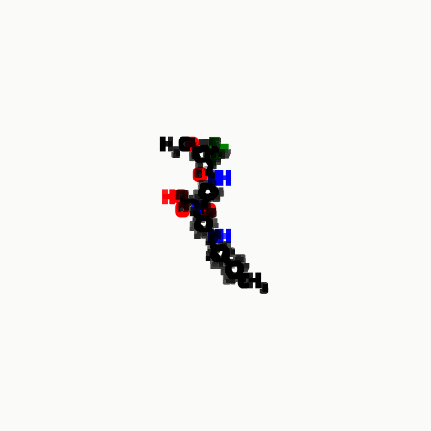 COc1ccc(CC(=O)Nc2ccc(C(=O)N(CC(=O)O)Cc3ccc(NCc4ccc(-c5ccc(C)cc5)cc4)cc3)cc2)c(C(F)(F)F)c1